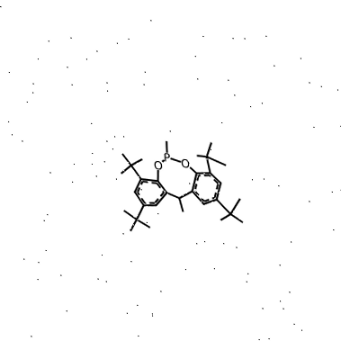 CC1c2cc(C(C)(C)C)cc(C(C)(C)C)c2OP(C)Oc2c1cc(C(C)(C)C)cc2C(C)(C)C